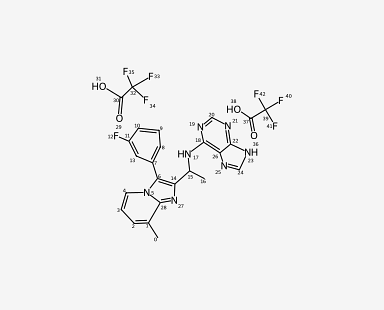 Cc1cccn2c(-c3cccc(F)c3)c(C(C)Nc3ncnc4[nH]cnc34)nc12.O=C(O)C(F)(F)F.O=C(O)C(F)(F)F